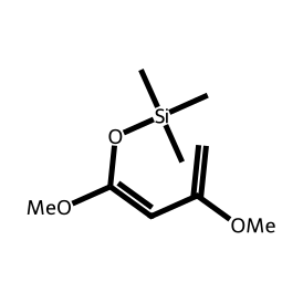 C=C(C=C(OC)O[Si](C)(C)C)OC